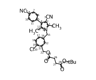 Cc1c(C#N)c(-c2ccc(C#N)cc2)c(C)n1Cc1ccc(Cl)c(COC(=O)CCC(=O)OC(C)(C)C)c1